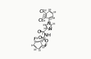 O=C(NS(=O)(=O)c1c(F)cccc1F)c1cn(-c2cccc(Cl)c2Cl)cn1